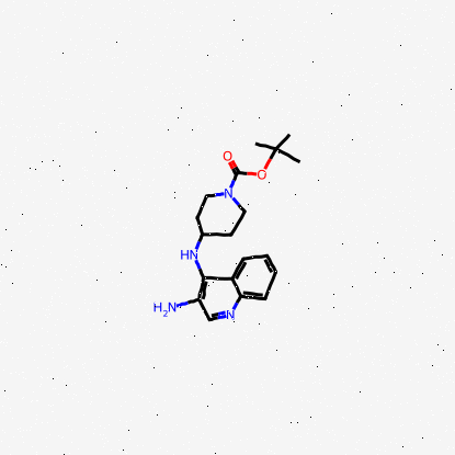 CC(C)(C)OC(=O)N1CCC(Nc2c(N)cnc3ccccc23)CC1